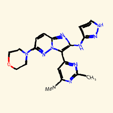 CNc1cc(-c2c(Nc3cc[nH]n3)nc3ccc(N4CCOCC4)nn23)nc(C)n1